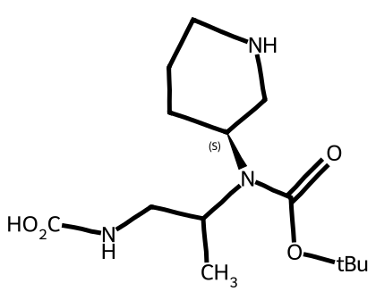 CC(CNC(=O)O)N(C(=O)OC(C)(C)C)[C@H]1CCCNC1